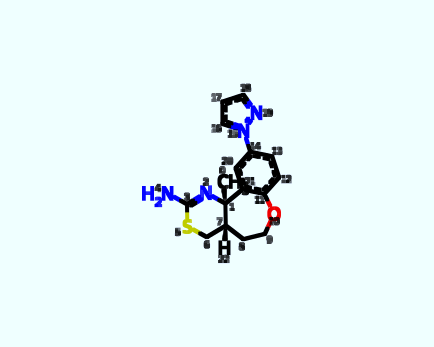 C[C@]12N=C(N)SC[C@H]1CCOc1ccc(-n3cccn3)cc12